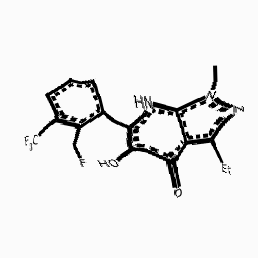 CCc1nn(C)c2[nH]c(-c3cccc(C(F)(F)F)c3F)c(O)c(=O)c12